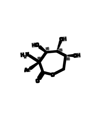 CC(=O)[C@]1(N)C(=O)OC[C@@H](O)[C@@H](O)[C@@H]1O